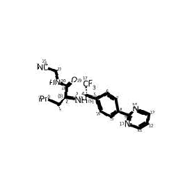 CC(C)C[C@H](N[C@@H](c1ccc(-c2ncccn2)cc1)C(F)(F)F)C(=O)NCC#N